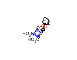 O=C(O)CN1CCN(CC(=O)O)CCN(Cc2ccc(C3OC45CCCCCCCCCCC(C4)(C5)O3)cc2)CCN(CC(=O)O)CC1